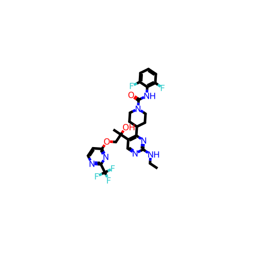 CCNc1ncc(C(C)(O)COc2ccnc(C(F)(F)F)n2)c(C2CCN(C(=O)Nc3c(F)cccc3F)CC2)n1